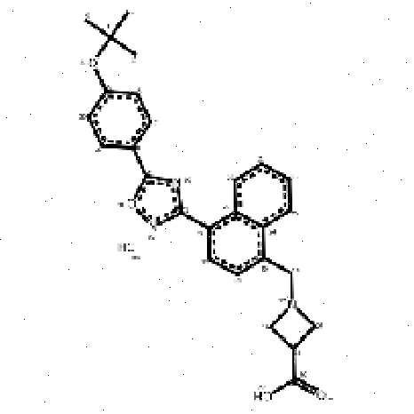 CC(C)(C)Oc1ccc(-c2nc(-c3ccc(CN4CC(C(=O)O)C4)c4ccccc34)no2)cc1.Cl